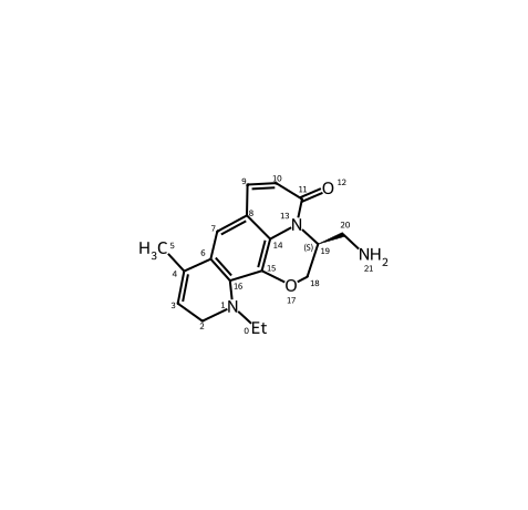 CCN1CC=C(C)c2cc3ccc(=O)n4c3c(c21)OC[C@@H]4CN